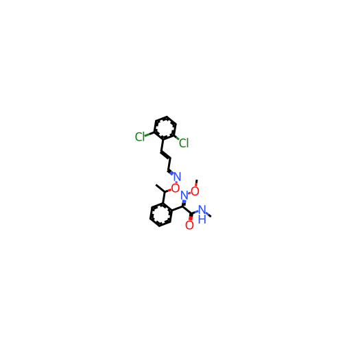 CNC(=O)/C(=N\OC)c1ccccc1C(C)O/N=C/C=C/c1c(Cl)cccc1Cl